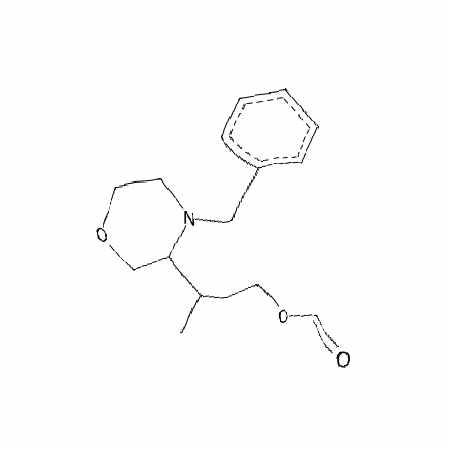 CC(COC=O)C1COCCN1Cc1ccccc1